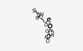 CN1CCN(c2cccc(O[C@@H](CCCOC(=O)NCC[Si](C)(C)C)c3cccs3)c2)C(=O)c2cnc(Cl)cc21